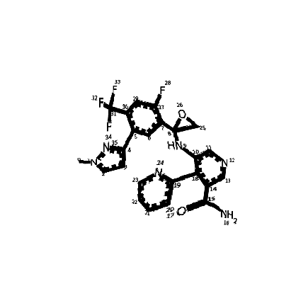 Cn1ccc(-c2cc(C3(Nc4cncc(C(N)=O)c4-c4ccccn4)CO3)c(F)cc2C(F)(F)F)n1